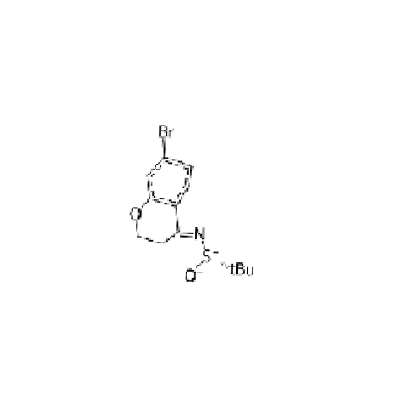 CC(C)(C)[S@+]([O-])/N=C1\CCOc2cc(Br)ccc21